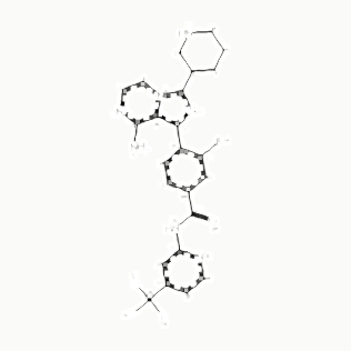 Nc1nccn2c(C3CCCNC3)nc(-c3ccc(C(=O)Nc4cc(C(F)(F)F)ccn4)cc3F)c12